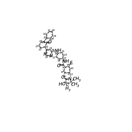 CC(C)(C)N(Cc1ccc(C(=O)Nc2ccc(Nc3cc(-c4cccc5c4oc4ccccc45)ncn3)cc2)c(F)c1)C(=O)O